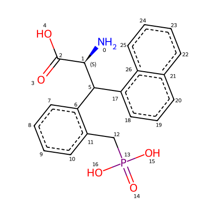 N[C@H](C(=O)O)C(c1ccccc1CP(=O)(O)O)c1cccc2ccccc12